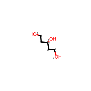 OCC[C](O)CCO